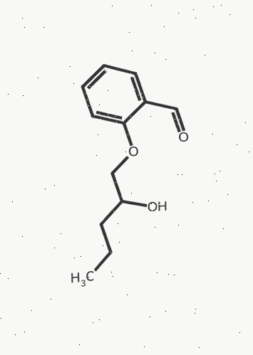 CCCC(O)COc1ccccc1C=O